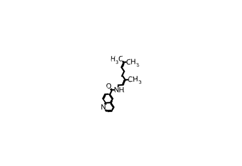 CC(C)=CCCC(C)=CCNC(=O)c1ccc2ncccc2c1